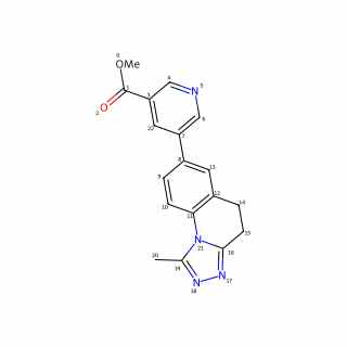 COC(=O)c1cncc(-c2ccc3c(c2)CCc2nnc(C)n2-3)c1